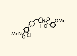 CNC(=O)c1ccc(N2CCC(CC3CCN(C(=O)C(O)c4cccc(OC)c4)CC3)CC2)cc1Cl